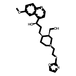 COc1ccc2nccc([C@H](O)CC[C@@H]3CCN(CCSc4ncco4)C[C@@H]3CO)c2c1